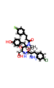 CN(C(=O)CCc1ccc(F)cc1)[C@]([C]=O)(Cc1ccc(O)cc1)C(=O)[C@H](CO)NC(=O)[C@@H](N)Cc1ccc(Cl)cc1